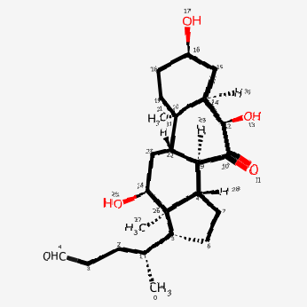 C[C@H](CCC=O)[C@H]1CC[C@H]2[C@@H]3C(=O)[C@H](O)[C@@H]4C[C@H](O)CC[C@]4(C)[C@H]3C[C@H](O)[C@]12C